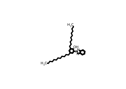 CCCCCCCCCCCCc1cc(CCCCCCCCCCC)c(O)c(-n2nc3ccccc3n2)c1